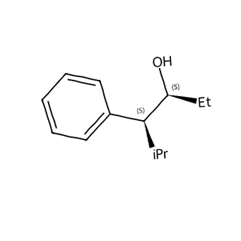 CC[C@H](O)[C@H](c1ccccc1)C(C)C